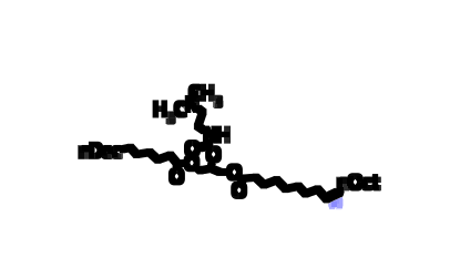 CCCCCCCC/C=C\CCCCCCCC(=O)OCC(COC(=O)CCCCCCCCCCCCCCC)OC(=O)NCCN(C)C